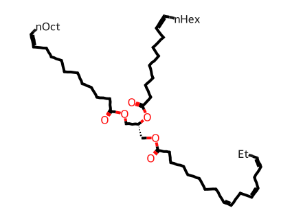 CC/C=C\C/C=C\C/C=C\CCCCCCCC(=O)OC[C@H](COC(=O)CCCCCCCCC/C=C\CCCCCCCC)OC(=O)CCCCCCC/C=C\CCCCCC